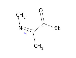 CCC(=O)/C(C)=N\C